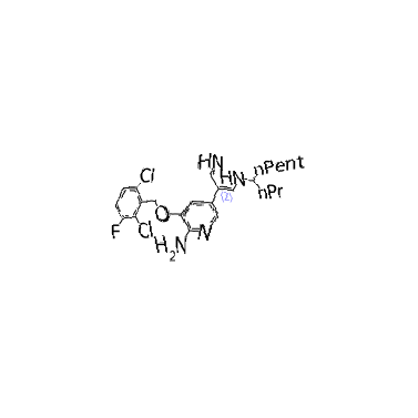 CCCCCC(CCC)N/C=C(\C=N)c1cnc(N)c(OCc2c(Cl)ccc(F)c2Cl)c1